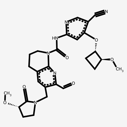 CO[C@H]1CCN(Cc2cc3c(nc2C=O)N(C(=O)Nc2cc(O[C@H]4CC[C@@H]4OC)c(C#N)cn2)CCC3)C1=O